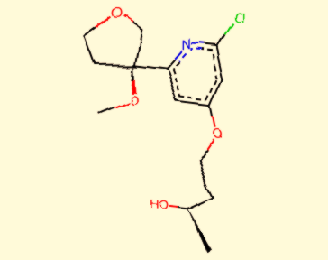 CO[C@@]1(c2cc(OCC[C@@H](C)O)cc(Cl)n2)CCOC1